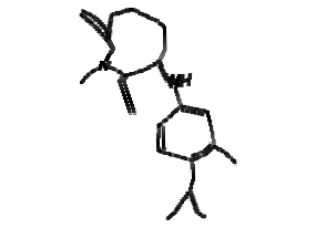 C=C1CCC(Nc2ccc(C(C)C)c(C)c2)C(=C)N1C